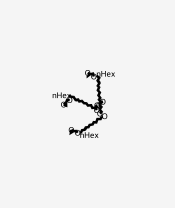 CCCCCCC(CC=CCCCCCCCC(=O)OCC(COC(=O)CCCCCCCC=CCC(CCCCCC)OCC1CO1)OC(=O)CCCCCCCC=CCC(CCCCCC)OCC1CO1)OCC1CO1